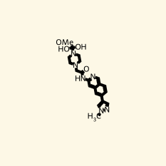 COC(O)(O)N1CCN(CC(=O)Nc2cc3cc(-c4cnn(C)c4)ccc3cn2)CC1